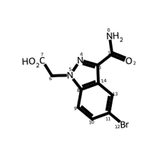 NC(=O)c1nn(CC(=O)O)c2ccc(Br)cc12